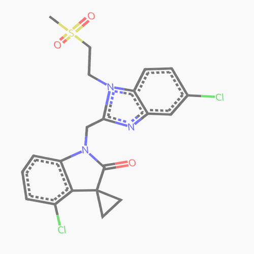 CS(=O)(=O)CCn1c(CN2C(=O)C3(CC3)c3c(Cl)cccc32)nc2cc(Cl)ccc21